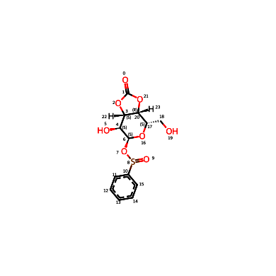 O=C1O[C@H]2[C@H](O)[C@H](OS(=O)c3ccccc3)O[C@@H](CO)[C@H]2O1